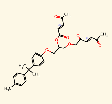 CC(=O)/C=C/C(=O)COCC(COc1ccc(C(C)(C)c2ccc(C)cc2)cc1)OC(=O)/C=C/C(C)=O